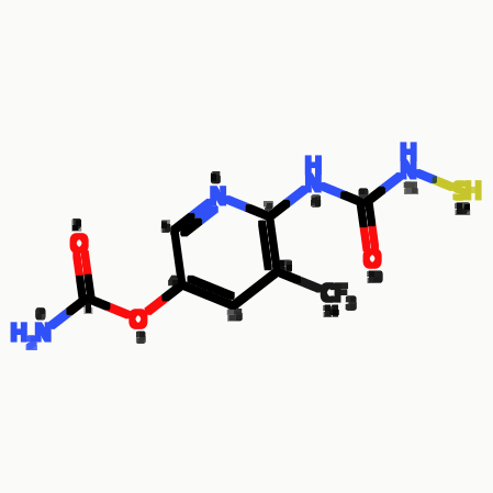 NC(=O)Oc1cnc(NC(=O)NS)c(C(F)(F)F)c1